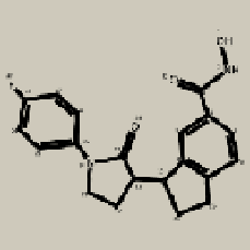 O=C(NO)c1ccc2c(c1)C(C1CCN(c3ccc(F)cc3)C1=O)CC2